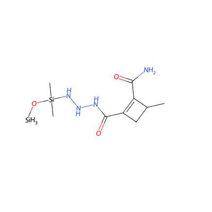 CC1CC(C(=O)NNN[Si](C)(C)O[SiH3])=C1C(N)=O